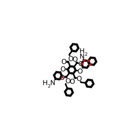 Nc1ccc(Oc2c(C(=O)OCc3ccccc3)c(C(=O)OCc3ccccc3)c(Oc3cccc(N)c3)c(C(=O)OCc3ccccc3)c2C(=O)OCc2ccccc2)cc1